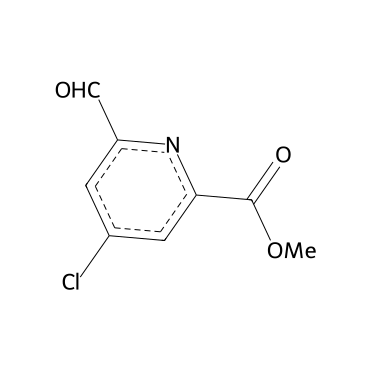 COC(=O)c1cc(Cl)cc(C=O)n1